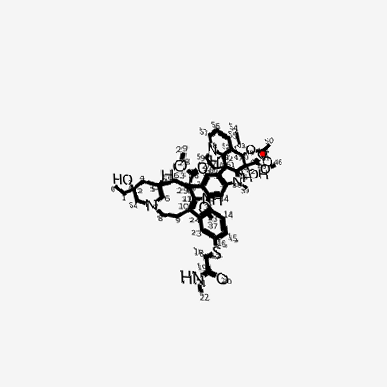 CC[C@]1(O)C[C@H]2CN(CCc3c([nH]c4ccc(SCC(=O)NC)cc34)[C@@](C(=O)OC)(c3cc4c(cc3OC)N(C)[C@H]3[C@@](O)(C(=O)OC)[C@H](OC(C)=O)[C@]5(CC)C=CCN6CC[C@]43[C@@H]65)C2)C1